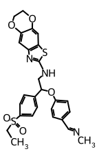 CCS(=O)(=O)c1ccc(C(CNc2nc3cc4c(cc3s2)OCCO4)Oc2ccc(/C=N/C)cc2)cc1